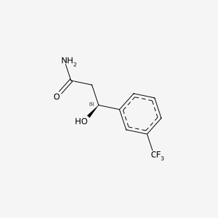 NC(=O)C[C@H](O)c1cccc(C(F)(F)F)c1